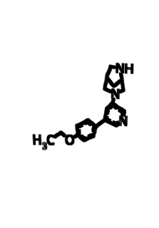 CCOc1ccc(-c2cncc(N3CC4CNC(C4)C3)c2)cc1